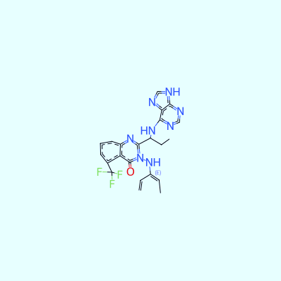 C=C/C(=C\C)Nn1c(C(CC)Nc2ncnc3[nH]cnc23)nc2cccc(C(F)(F)F)c2c1=O